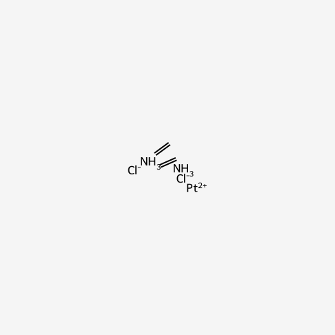 C=C.C=C.N.N.[Cl-].[Cl-].[Pt+2]